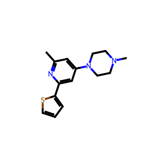 Cc1cc(N2CCN(C)CC2)cc(-c2cccs2)n1